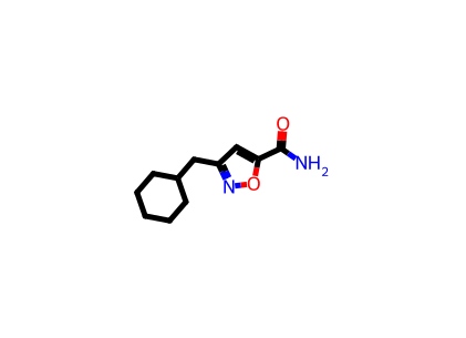 NC(=O)c1cc(CC2CCCCC2)no1